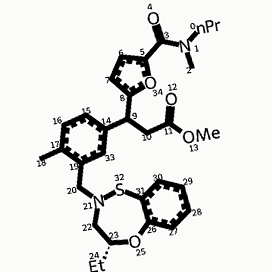 CCCN(C)C(=O)c1ccc(C(CC(=O)OC)c2ccc(C)c(CN3C[C@@H](CC)Oc4ccccc4S3)c2)o1